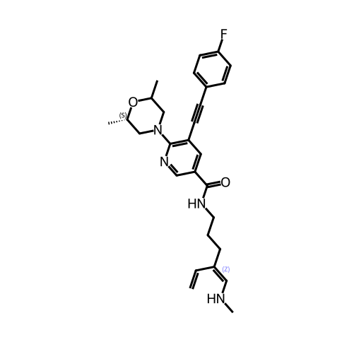 C=C/C(=C\NC)CCCNC(=O)c1cnc(N2CC(C)O[C@@H](C)C2)c(C#Cc2ccc(F)cc2)c1